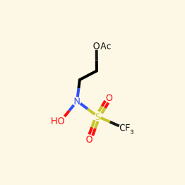 CC(=O)OCCN(O)S(=O)(=O)C(F)(F)F